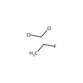 CCF.ClCCl